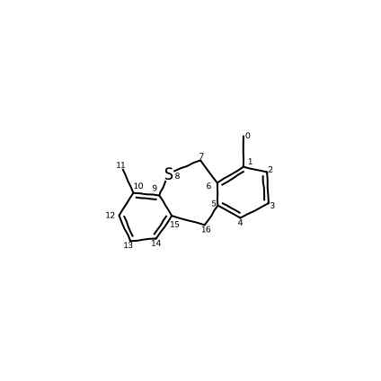 Cc1cccc2c1CSc1c(C)cccc1C2